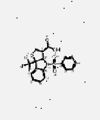 O=C(O)C1COC2(C(F)(F)F)c3ccccc3N(S(=O)(=O)c3ccccc3)C12